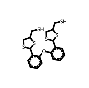 SCC1CSC(c2ccccc2Oc2ccccc2C2SCC(CS)S2)S1